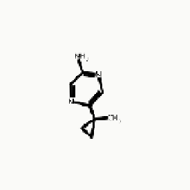 CC1(c2cnc(N)cn2)CC1